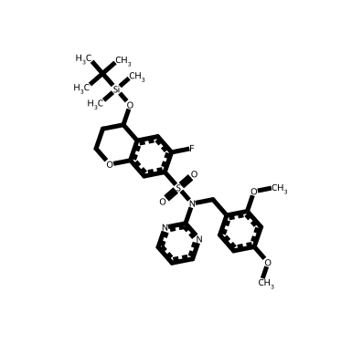 COc1ccc(CN(c2ncccn2)S(=O)(=O)c2cc3c(cc2F)C(O[Si](C)(C)C(C)(C)C)CCO3)c(OC)c1